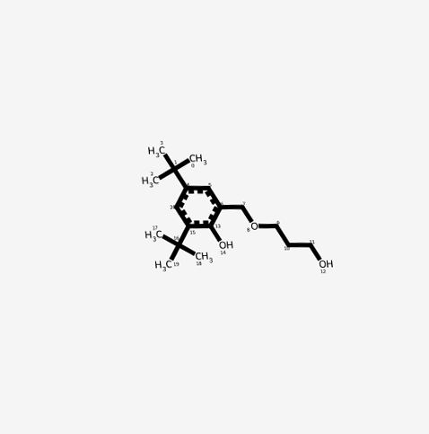 CC(C)(C)c1cc(COCCCO)c(O)c(C(C)(C)C)c1